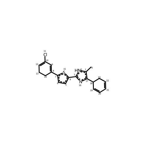 Cc1[nH]c(-c2ccc(C3=CC(Cl)=CCC3)s2)nc1C1C=CC=CC1